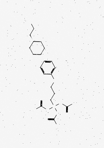 CCC[C@H]1CC[C@H](c2ccc(OCCC[Si](OC(C)=O)(OC(C)=O)OC(C)=O)cc2)CC1